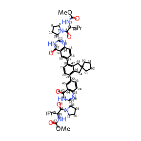 COC(=O)N[C@H](C(=O)N1CCC[C@H]1c1nc2ccc(-c3ccc(-c4ccc5nc([C@@H]6CCCN6C(=O)[C@@H](NC(=O)OC)C(C)C)[nH]c(=O)c5c4)c4c3CC3(CCCC3)C4)cc2c(=O)[nH]1)C(C)C